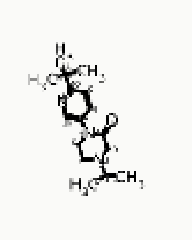 CC(C)N1CCN(c2ccc(C(C)(C)C)nc2)C(=O)C1